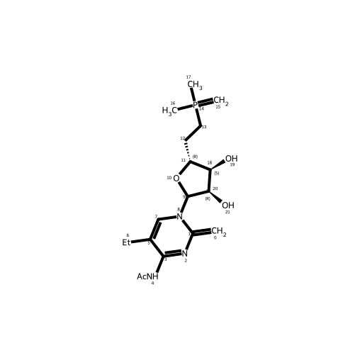 C=C1N=C(NC(C)=O)C(CC)=CN1C1O[C@H](CCP(=C)(C)C)[C@@H](O)[C@H]1O